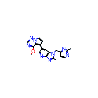 COc1ncnn2ccc(-c3cnc4nc(C)n(Cc5ccnc(C)n5)c4c3)c12